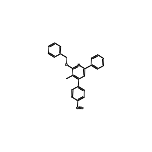 COc1ccc(-c2cc(-c3ccccc3)nc(OCc3ccccc3)c2C)cc1